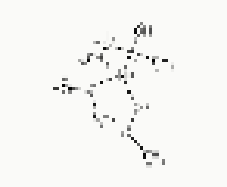 CCON(C(C)(C)O)C(C)(C)O